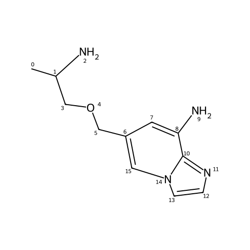 CC(N)COCc1cc(N)c2nccn2c1